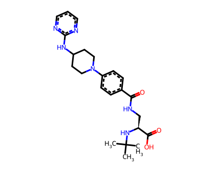 CC(C)(C)N[C@@H](CNC(=O)c1ccc(N2CCC(Nc3ncccn3)CC2)cc1)C(=O)O